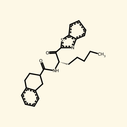 CCCCC[C@H](NC(=O)C1CCc2ccccc2C1)C(=O)c1nc2ccccc2s1